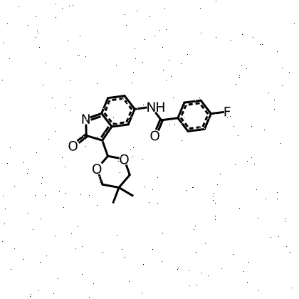 CC1(C)COC(C2=c3cc(NC(=O)c4ccc(F)cc4)ccc3=NC2=O)OC1